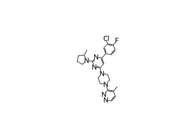 Cc1ccnnc1N1CCN(c2cc(-c3ccc(F)c(Cl)c3)nc(N3CCCC3C)n2)CC1